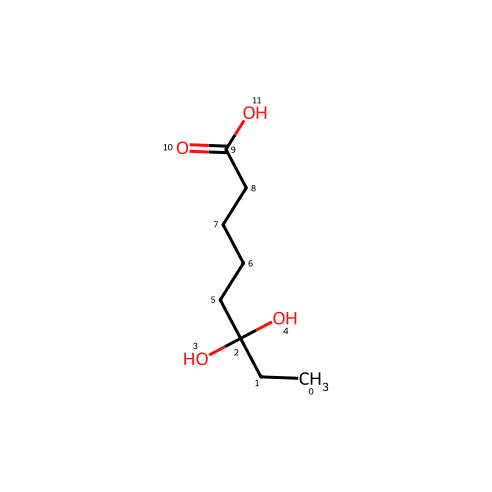 CCC(O)(O)CCCCC(=O)O